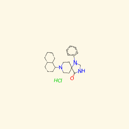 Cl.O=C1NCN(c2ccccc2)C12CCN(C1CCCC3CCCCC31)CC2